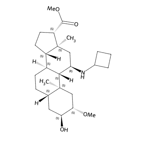 COC(=O)[C@H]1CC[C@H]2[C@@H]3CC[C@H]4C[C@H](O)[C@@H](OC)C[C@]4(C)[C@H]3[C@H](NC3CCC3)C[C@]12C